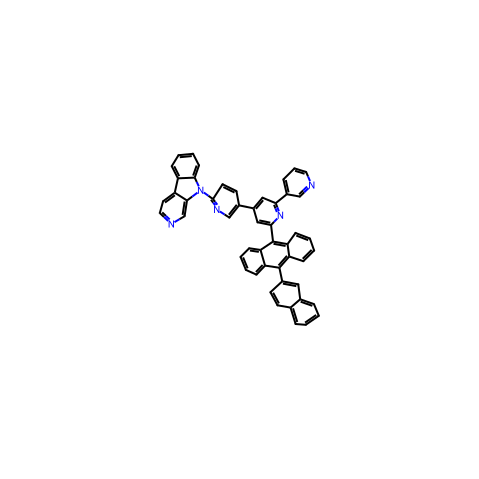 c1cncc(-c2cc(-c3ccc(-n4c5ccccc5c5ccncc54)nc3)cc(-c3c4ccccc4c(-c4ccc5ccccc5c4)c4ccccc34)n2)c1